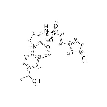 CC(O)c1ccc(N2CC[C@H](NS(=O)(=O)C=Cc3ccc(Cl)s3)C2=O)c(F)c1